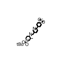 C[C@H]1CN(C(=O)OC(C)(C)C)CCC1N(C)Cc1ccc(-c2ccc(S(C)(=O)=O)cc2)nc1